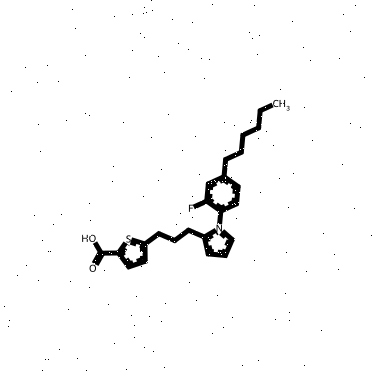 CCCCCCc1ccc(-n2cccc2CCCc2ccc(C(=O)O)s2)c(F)c1